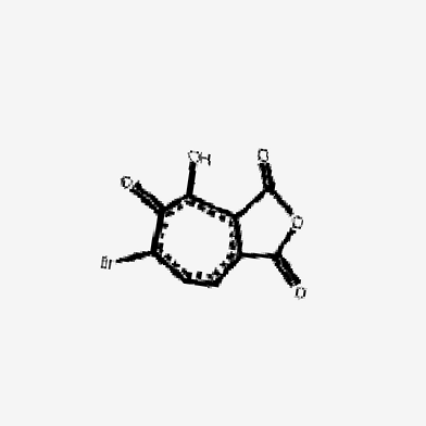 O=C1OC(=O)c2c1ccc(Br)c(=O)c2O